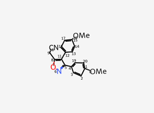 COc1ccc(-c2noc(CC#N)c2-c2ccc(OC)cc2)cc1